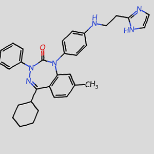 Cc1ccc2c(c1)N(c1ccc(NCCc3ncc[nH]3)cc1)C(=O)N(c1ccccc1)N=C2C1CCCCC1